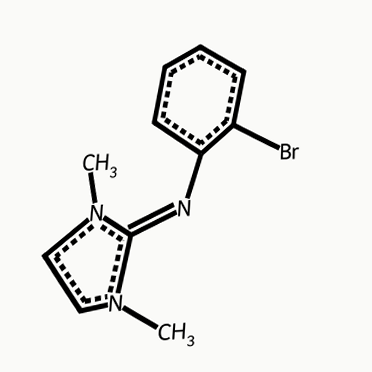 Cn1ccn(C)c1=Nc1ccccc1Br